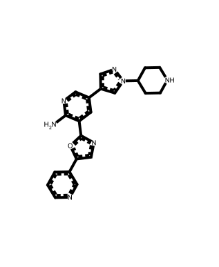 Nc1ncc(-c2cnn(C3CCNCC3)c2)cc1-c1ncc(-c2cccnc2)o1